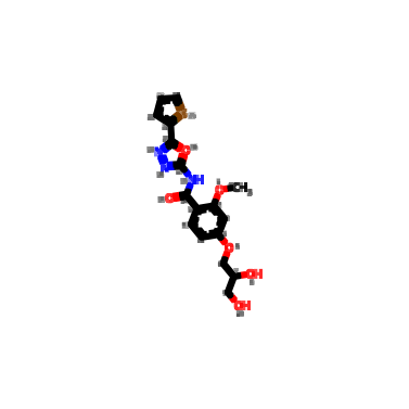 COc1cc(OCC(O)CO)ccc1C(=O)Nc1nnc(-c2cccs2)o1